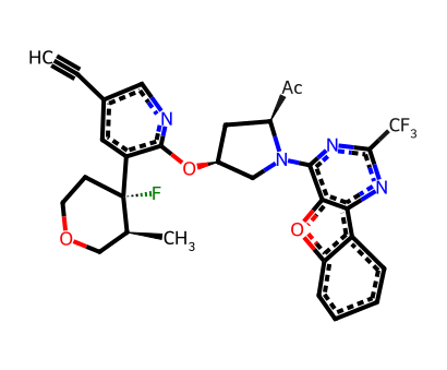 C#Cc1cnc(O[C@H]2C[C@@H](C(C)=O)N(c3nc(C(F)(F)F)nc4c3oc3ccccc34)C2)c([C@]2(F)CCOC[C@@H]2C)c1